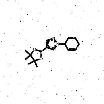 CC1(C)OB(c2cnn(C3C=CCCC3)c2)OC1(C)C